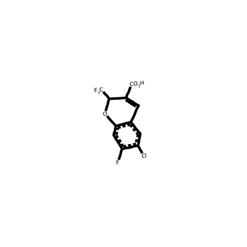 O=C(O)C1=Cc2cc(Cl)c(F)cc2OC1C(F)(F)F